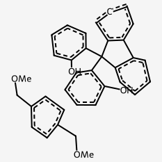 COCc1ccc(COC)cc1.Oc1ccccc1C1(c2ccccc2O)c2ccccc2-c2ccccc21